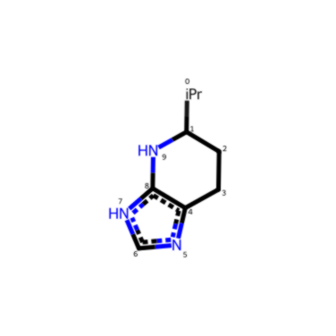 CC(C)C1CCc2nc[nH]c2N1